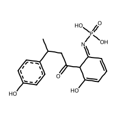 CC(CC(=O)C1C(O)=CC=CC1=NP(=O)(O)O)c1ccc(O)cc1